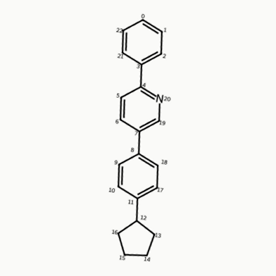 c1ccc(-c2ccc(-c3ccc(C4CCCC4)cc3)cn2)cc1